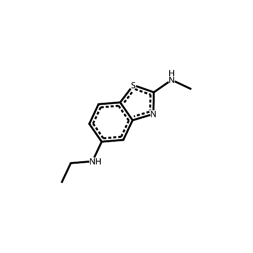 CCNc1ccc2sc(NC)nc2c1